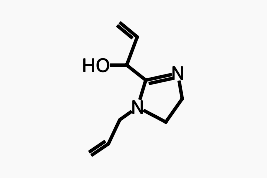 C=CCN1CCN=C1C(O)C=C